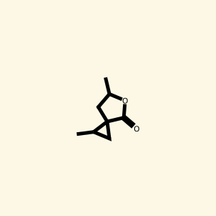 CC1CC2(CC2C)C(=O)O1